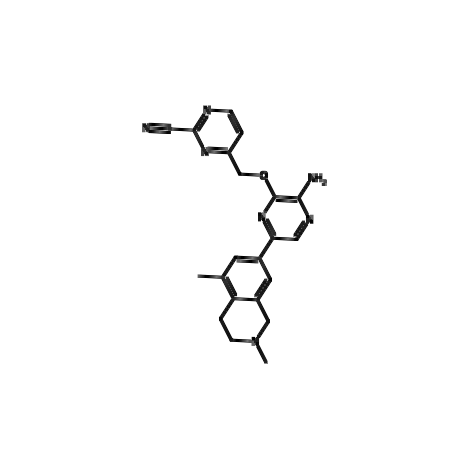 Cc1cc(-c2cnc(N)c(OCc3ccnc(C#N)n3)n2)cc2c1CCN(C)C2